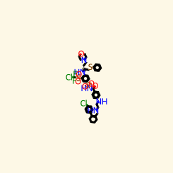 O=C(NS(=O)(=O)c1ccc(N[C@H](CCN2CCOCC2)CSc2ccccc2)c(S(=O)(=O)C(F)(F)Cl)c1)c1ccc(NCCNCC2=C(c3ccc(Cl)cc3)CCCC2)cc1